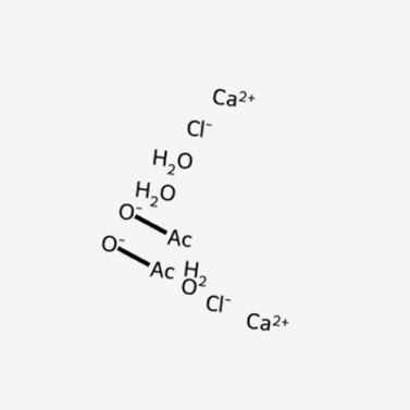 CC(=O)[O-].CC(=O)[O-].O.O.O.[Ca+2].[Ca+2].[Cl-].[Cl-]